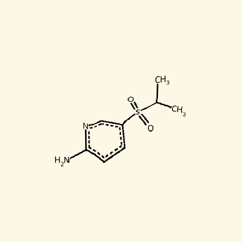 CC(C)S(=O)(=O)c1ccc(N)nc1